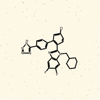 Fc1cc2nc(-c3ccc(Cl)cc3-c3ccc(-c4nnn[nH]4)cc3)n(CC3CCCCC3)c2cc1F